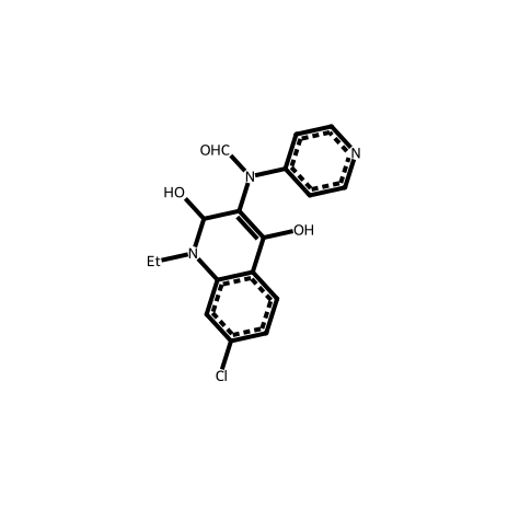 CCN1c2cc(Cl)ccc2C(O)=C(N(C=O)c2ccncc2)C1O